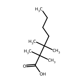 CCCCC(C)(C)C(C)(C)C(=O)O